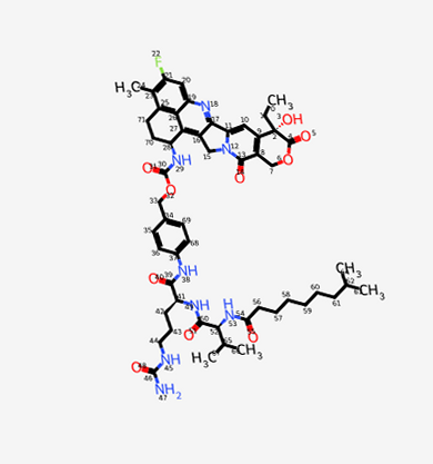 CC[C@@]1(O)C(=O)OCc2c1cc1n(c2=O)Cc2c-1nc1cc(F)c(C)c3c1c2[C@@H](NC(=O)OCc1ccc(NC(=O)[C@H](CCCNC(N)=O)NC(=O)[C@@H](NC(=O)CCCCCCC(C)C)C(C)C)cc1)CC3